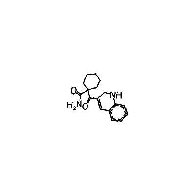 NC(=O)C1(C(=O)C2=Cc3ccccc3NC2)CCCCC1